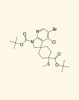 CSC1(C(=O)OC(C)(C)C)CCC2(CC1)CN(C(=O)OC(C)(C)C)c1ncc(Br)c(Cl)c12